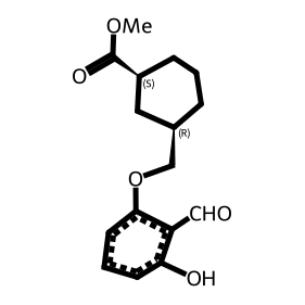 COC(=O)[C@H]1CCC[C@@H](COc2cccc(O)c2C=O)C1